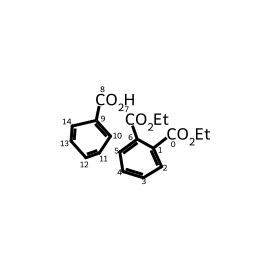 CCOC(=O)c1ccccc1C(=O)OCC.O=C(O)c1ccccc1